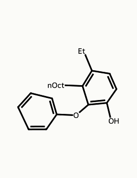 CCCCCCCCc1c(CC)ccc(O)c1Oc1ccccc1